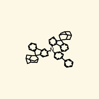 c1ccc(-c2ccc(N(c3ccc4c(c3)-c3ccccc3C43C4CC5CC(C4)CC3C5)c3cccc4c3-c3ccccc3C43C4CC5CC(C4)CC3C5)cc2)cc1